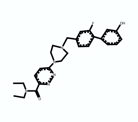 CCN(CC)C(=O)c1ccc(N2CCN(Cc3ccc(-c4cccc(O)c4)c(F)c3)CC2)nn1